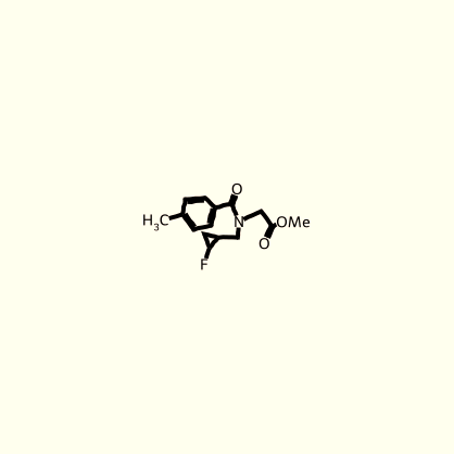 COC(=O)CN(CC1CC1F)C(=O)c1ccc(C)cc1